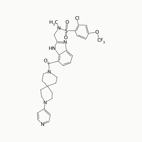 CN(Cc1nc2cccc(C(=O)N3CCC4(CC3)CCN(c3ccncc3)CC4)c2[nH]1)S(=O)(=O)c1ccc(OC(F)(F)F)cc1Cl